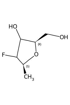 C[C@@H]1O[C@H](CO)C(O)C1F